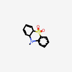 CN1c2ccccc2S(=O)(=O)C2C=CC=CC21